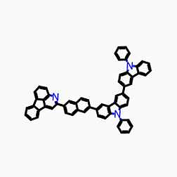 c1ccc(-n2c3ccccc3c3cc(-c4ccc5c(c4)c4cc(-c6ccc7cc(-c8cc9c%10c(cccc%10n8)-c8ccccc8-9)ccc7c6)ccc4n5-c4ccccc4)ccc32)cc1